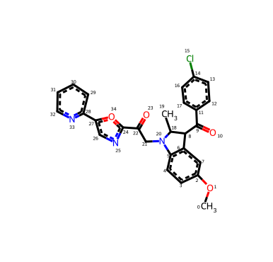 COc1ccc2c(c1)C(C(=O)c1ccc(Cl)cc1)C(C)N2CC(=O)c1ncc(-c2ccccn2)o1